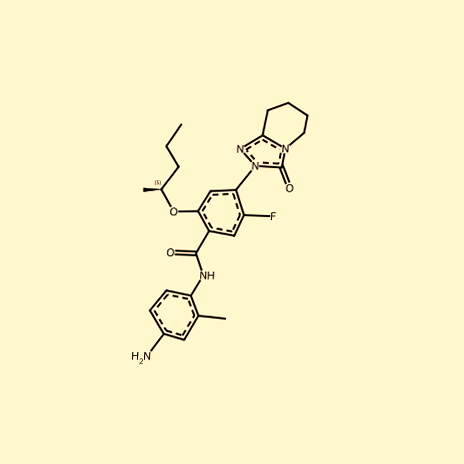 CCC[C@H](C)Oc1cc(-n2nc3n(c2=O)CCCC3)c(F)cc1C(=O)Nc1ccc(N)cc1C